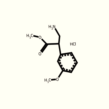 COC(=O)C(CN)c1cccc(OC)c1.Cl